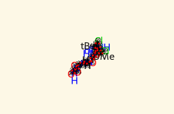 COc1cc(C(=O)N2C[C@@H]3CN(c4ccc5c(c4)CN(C4CCC(=O)NC4=O)C5=O)C[C@@H]3C2)ccc1NC(=O)[C@@H]1N[C@@H](CC(C)(C)C)[C@@]2(CNc3cc(Cl)ccc32)[C@H]1c1cccc(Cl)c1F